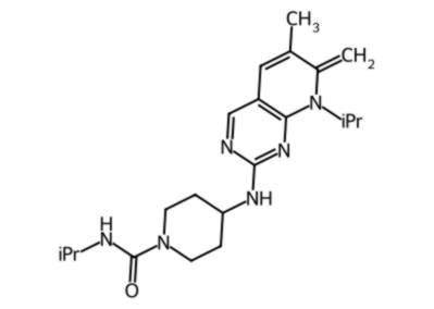 C=C1C(C)=Cc2cnc(NC3CCN(C(=O)NC(C)C)CC3)nc2N1C(C)C